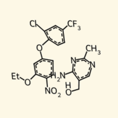 CCOc1cc(Oc2ccc(C(F)(F)F)cc2Cl)ccc1[N+](=O)[O-].Cc1ncc(CO)c(N)n1